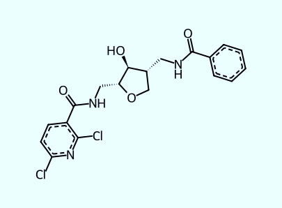 O=C(NC[C@@H]1CO[C@H](CNC(=O)c2ccc(Cl)nc2Cl)[C@H]1O)c1ccccc1